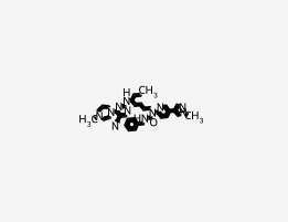 CCCC(CCCCN(C(=O)NCc1ccccc1)c1ccc(-c2cnn(C)c2)cn1)Nc1ncc(C#N)c(N2CCCN(C)CC2)n1